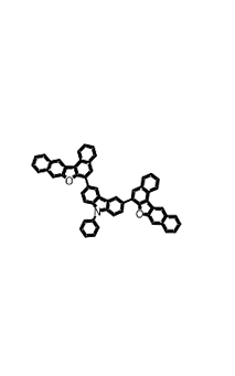 c1ccc(-n2c3ccc(-c4cc5ccccc5c5c4oc4cc6ccccc6cc45)cc3c3cc(-c4cc5ccccc5c5c4oc4cc6ccccc6cc45)ccc32)cc1